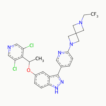 CC(Oc1ccc2[nH]nc(-c3ccc(N4CC5(CN(CC(F)(F)F)C5)C4)nc3)c2c1)c1c(Cl)cncc1Cl